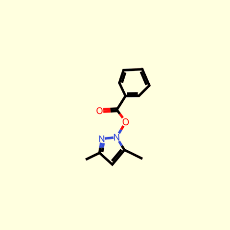 Cc1cc(C)n(OC(=O)c2ccccc2)n1